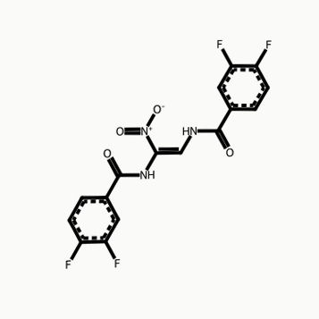 O=C(NC=C(NC(=O)c1ccc(F)c(F)c1)[N+](=O)[O-])c1ccc(F)c(F)c1